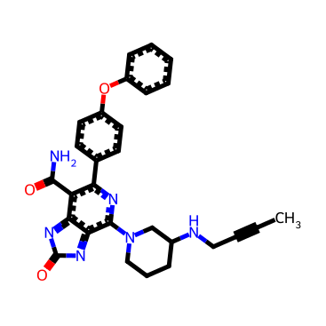 CC#CCNC1CCCN(c2nc(-c3ccc(Oc4ccccc4)cc3)c(C(N)=O)c3c2=NC(=O)N=3)C1